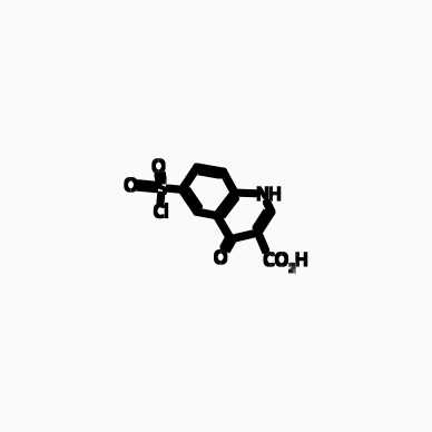 O=C(O)c1c[nH]c2ccc(S(=O)(=O)Cl)cc2c1=O